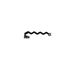 CCCC/C=C\CCCCCCCl